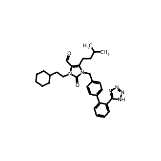 CC(C)CCc1c(C=O)n(CCC2CCCCC2)c(=O)n1Cc1ccc(-c2ccccc2-c2nnn[nH]2)cc1